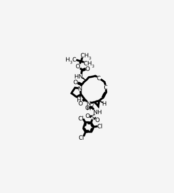 CC(C)(C)OC(=O)N[C@H]1CCCCC/C=C\[C@@H]2C[C@@]2(C(=O)NS(=O)(=O)c2c(Cl)cc(Cl)cc2Cl)NC(=O)[C@@H]2CCCN2C1=O